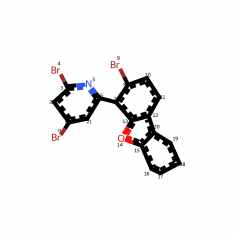 Brc1cc(Br)nc(-c2c(Br)ccc3c2oc2ccccc23)c1